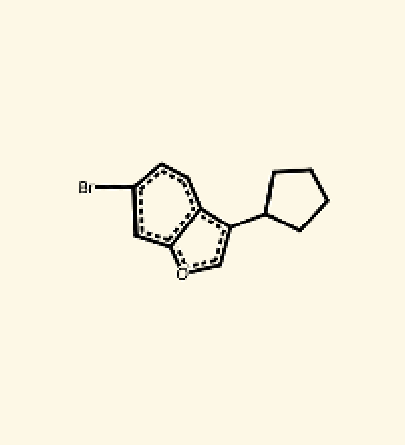 Brc1ccc2c(C3CCCC3)coc2c1